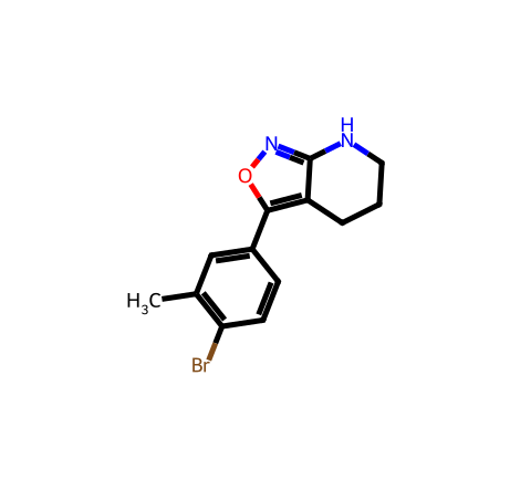 Cc1cc(-c2onc3c2CCCN3)ccc1Br